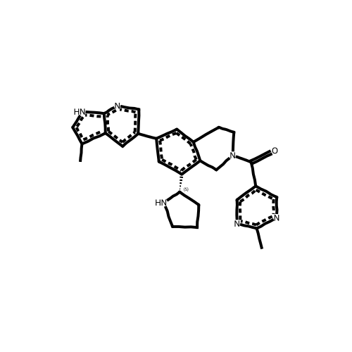 Cc1ncc(C(=O)N2CCc3cc(-c4cnc5[nH]cc(C)c5c4)cc([C@@H]4CCCN4)c3C2)cn1